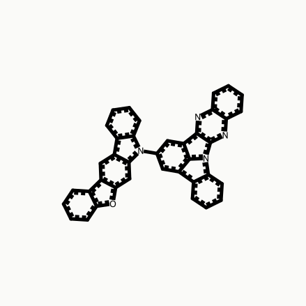 c1ccc2nc3c(nc2c1)c1cc(-n2c4ccccc4c4cc5c(cc42)oc2ccccc25)cc2c4ccccc4n3c21